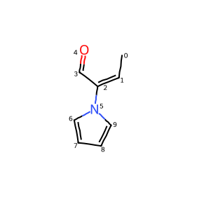 CC=C(C=O)n1cccc1